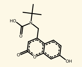 CC(C)(C)N(Cc1cc(=O)oc2cc(O)ccc12)C(=O)O